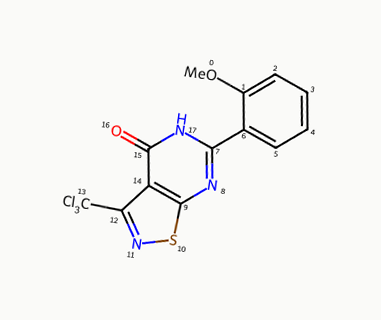 COc1ccccc1-c1nc2snc(C(Cl)(Cl)Cl)c2c(=O)[nH]1